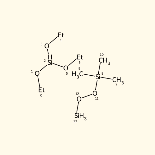 CCO[SiH](OCC)OCC.C[Si](C)(C)OO[SiH3]